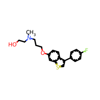 CN(CCO)CCCOc1ccc2c(-c3ccc(F)cc3)csc2c1